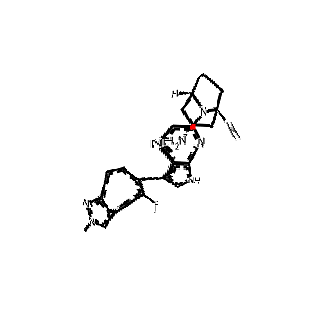 Cn1cc2c(F)c(-c3c[nH]c4nc(N5[C@@H]6CC[C@H]5C[C@@H](N)C6)cnc34)ccc2n1